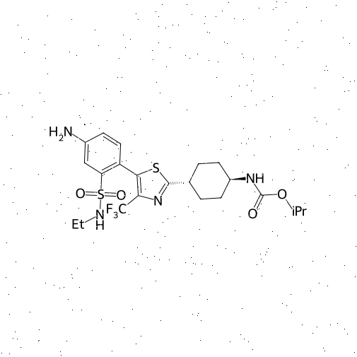 CCNS(=O)(=O)c1cc(N)ccc1-c1sc([C@H]2CC[C@H](NC(=O)OC(C)C)CC2)nc1C(F)(F)F